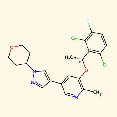 Cc1ncc(-c2cnn(C3CCOCC3)c2)cc1O[C@H](C)c1c(Cl)ccc(F)c1Cl